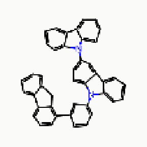 c1cc(-c2cccc3c2Cc2ccccc2-3)cc(-n2c3ccccc3c3cc(-n4c5ccccc5c5ccccc54)ccc32)c1